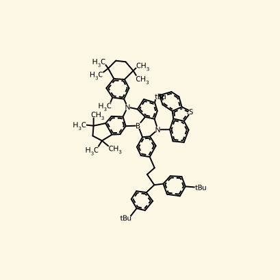 Cc1cc2c(cc1N1c3cc4c(cc3B3c5ccc(CCC(c6ccc(C(C)(C)C)cc6)c6ccc(C(C)(C)C)cc6)cc5N(c5cccc6sc7ccccc7c56)c5cc(C(C)(C)C)cc1c53)C(C)(C)CC4(C)C)C(C)(C)CCC2(C)C